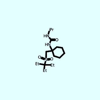 CCC(CC)(CC)S(=O)(=O)CC1(NC(=O)NC(C)C)CCCCC1